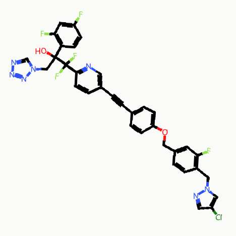 OC(Cn1cnnn1)(c1ccc(F)cc1F)C(F)(F)c1ccc(C#Cc2ccc(OCc3ccc(Cn4cc(Cl)cn4)c(F)c3)cc2)cn1